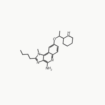 CCCCc1nc2c(N)nc3ccc(OC(C)C4CCCCN4)cc3c2n1C